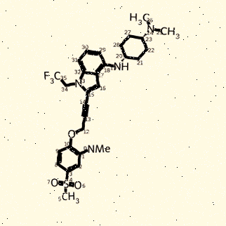 CNc1cc(S(C)(=O)=O)ccc1OCC#Cc1cc2c(N[C@H]3CC[C@@H](N(C)C)CC3)cccc2n1CC(F)(F)F